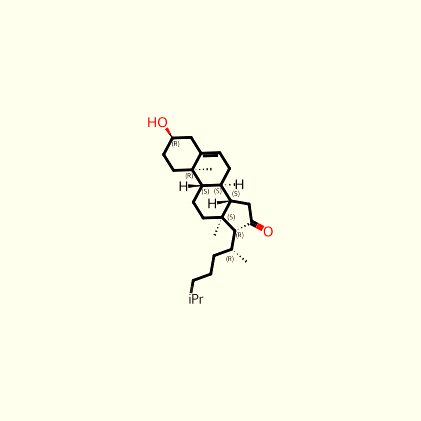 CC(C)CCC[C@@H](C)[C@H]1C(=O)C[C@H]2[C@@H]3CC=C4C[C@H](O)CC[C@]4(C)[C@H]3CC[C@]12C